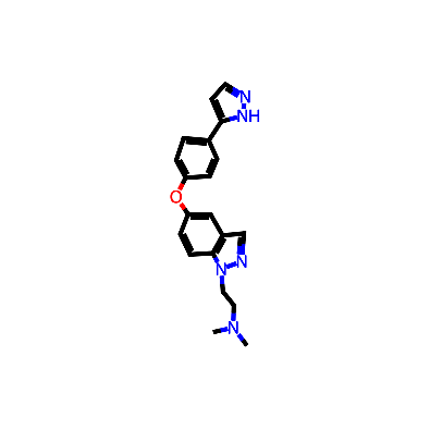 CN(C)CCn1ncc2cc(Oc3ccc(-c4ccn[nH]4)cc3)ccc21